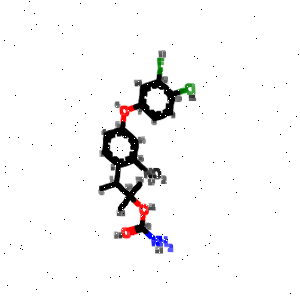 CC(c1ccc(Oc2ccc(Cl)c(F)c2)cc1[N+](=O)[O-])C(C)(C)OC(N)=O